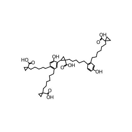 O=C(O)C1(CCCCCCc2cc(C3CC3(CCCCCc3ccc(O)cc3CCCCCCC3(C(=O)O)CC3)C(=O)O)c(O)cc2CCCCCC2(C(=O)O)CC2)CC1